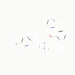 COc1cccc(-c2ncccn2)c1C(=O)N1CC2CC23CC(Oc2ncc(C(F)(F)F)cc2Cl)C13